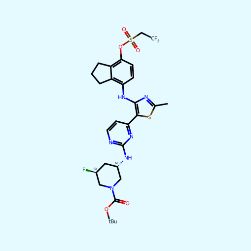 Cc1nc(Nc2ccc(OS(=O)(=O)CC(F)(F)F)c3c2CCC3)c(-c2ccnc(N[C@H]3C[C@H](F)CN(C(=O)OC(C)(C)C)C3)n2)s1